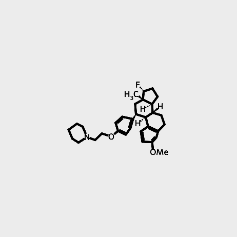 COc1ccc2c(c1)CC[C@@H]1[C@@H]2[C@@H](c2ccc(OCCN3CCCCC3)cc2)C[C@]2(C)[C@H](F)CC[C@@H]12